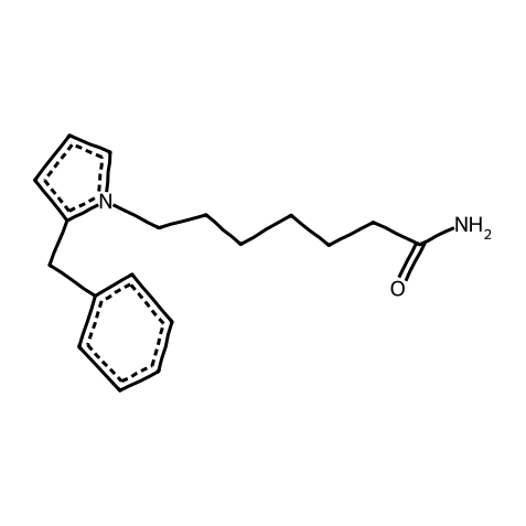 NC(=O)CCCCCCn1cccc1Cc1ccccc1